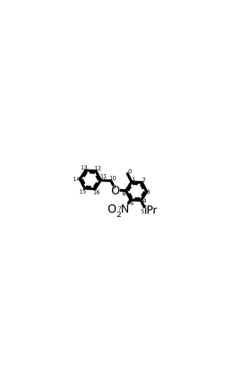 Cc1ccc(C(C)C)c([N+](=O)[O-])c1OCc1ccccc1